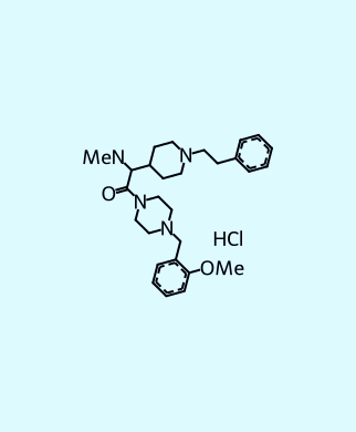 CNC(C(=O)N1CCN(Cc2ccccc2OC)CC1)C1CCN(CCc2ccccc2)CC1.Cl